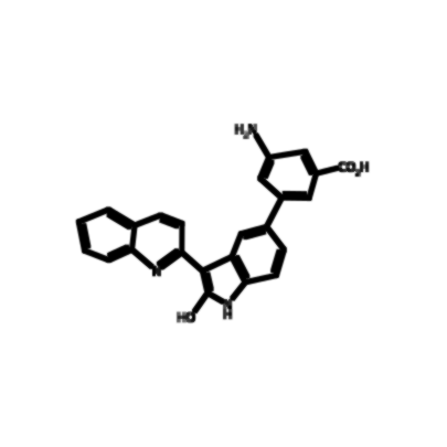 Nc1cc(C(=O)O)cc(-c2ccc3[nH]c(O)c(-c4ccc5ccccc5n4)c3c2)c1